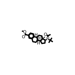 COC(=O)c1ccc2c(c1)CC[C@@H]1[C@@H]2CC[C@]2(C)[C@@H](N(C(C)=O)C(C)(C)C)CC[C@@H]12